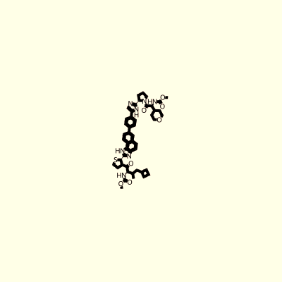 COC(=O)N[C@H](C(=O)C1CCS[C@@H]1c1nc2ccc3cc(-c4ccc(-c5cnc([C@@H]6CCCN6C(=O)[C@@H](NC(=O)OC)C6CCOCC6)[nH]5)cc4)ccc3c2[nH]1)C(C)CC1CCC1